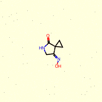 O=C1NC/C(=N\O)C12CC2